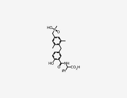 Cc1cc(CP(C)(=O)O)cc(C)c1Cc1ccc(O)c(C(=O)NC(C(=O)O)C(C)C)c1